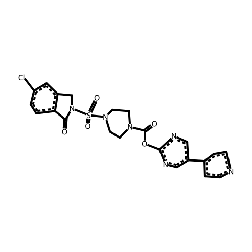 O=C(Oc1ncc(-c2ccncc2)cn1)N1CCN(S(=O)(=O)N2Cc3cc(Cl)ccc3C2=O)CC1